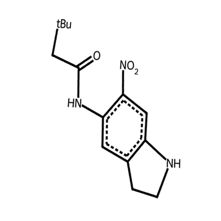 CC(C)(C)CC(=O)Nc1cc2c(cc1[N+](=O)[O-])NCC2